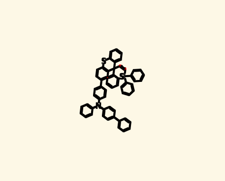 c1ccc(-c2ccc(N(c3ccccc3)c3ccc(-c4ccc5c(c4)C4(c6ccccc6S5)c5ccccc5[Si](c5ccccc5)(c5ccccc5)c5ccccc54)cc3)cc2)cc1